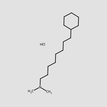 CN(C)CCCCCCCCC1CCCCC1.Cl